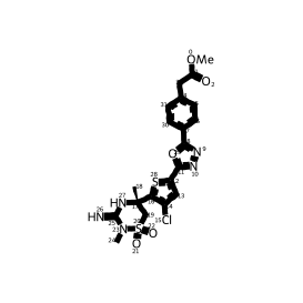 COC(=O)Cc1ccc(-c2nnc(-c3cc(Cl)c([C@]4(C)CS(=O)(=O)N(C)C(=N)N4)s3)o2)cc1